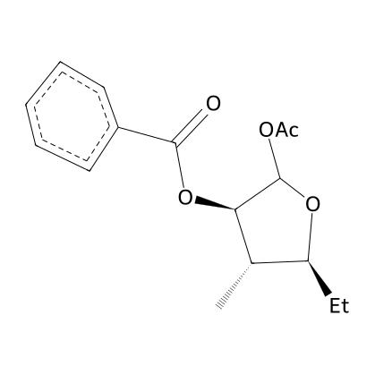 CC[C@@H]1OC(OC(C)=O)[C@H](OC(=O)c2ccccc2)[C@H]1C